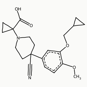 COc1ccc(C2(C#N)CCN(C3(C(=O)O)CC3)CC2)cc1OCC1CC1